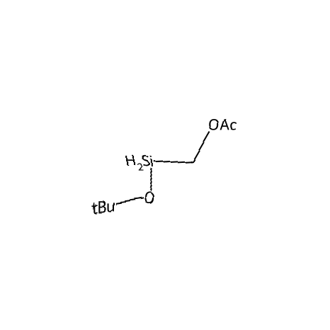 CC(=O)OC[SiH2]OC(C)(C)C